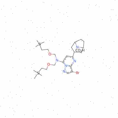 C[Si](C)(C)CCOCN(COCC[Si](C)(C)C)c1cc(C2CC3CCC(C2)N3C(=O)O)nc2c(Br)cnn12